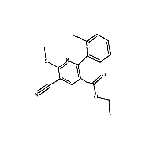 CCOC(=O)c1cc(C#N)c(SC)nc1-c1ccccc1F